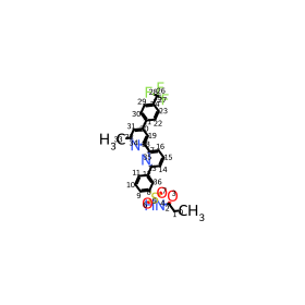 CCC(=O)NS(=O)(=O)c1cccc(-c2cccc(-c3cc(-c4ccc(C(F)(F)F)cc4)cc(C)n3)n2)c1